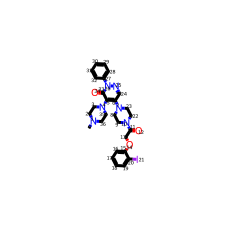 CN1CCN(c2c(N3CCN(C(=O)COc4ccccc4I)CC3)cnn(-c3ccccc3)c2=O)CC1